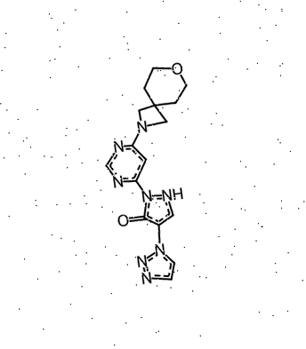 O=c1c(-n2ccnn2)c[nH]n1-c1cc(N2CC3(CCOCC3)C2)ncn1